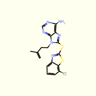 C=C(C)CCn1c(Sc2nc3cccc(Cl)c3s2)nc2c(N)ncnc21